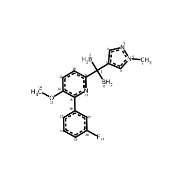 BC(B)(c1cnn(C)c1)c1ccc(OC)c(-c2cccc(F)c2)n1